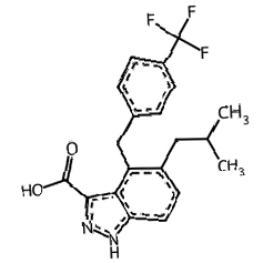 CC(C)Cc1ccc2[nH]nc(C(=O)O)c2c1Cc1ccc(C(F)(F)F)cc1